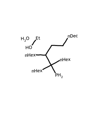 CCCCCCCCCCCCC(CCCCCC)C(P)(CCCCCC)CCCCCC.CCO.O